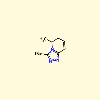 CC1CC=Cc2nnc(C(C)(C)C)n21